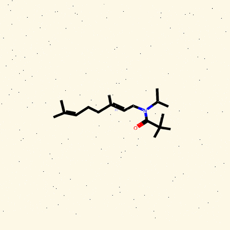 CC(C)=CCC/C(C)=C/CN(C(=O)C(C)(C)C)C(C)C